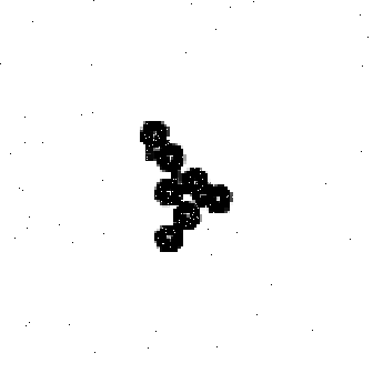 c1ccc(-c2ccc(-n3c4ccccc4c4ccc5c(c6ccccc6n5-c5ccc6c(c5)sc5ccccc56)c43)cc2)cc1